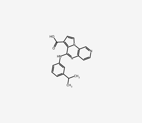 CC(C)c1cccc(Nc2nc3ccncc3n3ccc(C(=O)O)c23)c1